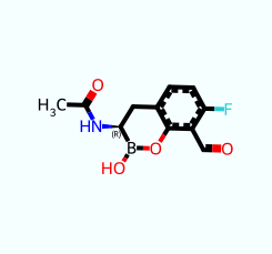 CC(=O)N[C@H]1Cc2ccc(F)c(C=O)c2OB1O